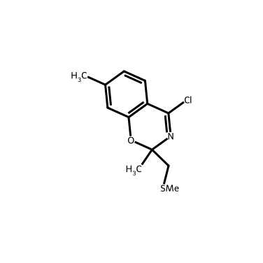 CSCC1(C)N=C(Cl)c2ccc(C)cc2O1